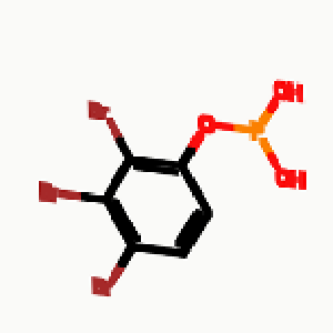 OP(O)Oc1ccc(Br)c(Br)c1Br